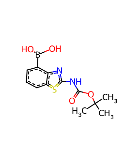 CC(C)(C)OC(=O)Nc1nc2c(B(O)O)cccc2s1